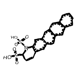 O=S(=O)(O)C1C=Cc2cc3cc4cc5ccccc5cc4cc3cc2N1S(=O)(=O)O